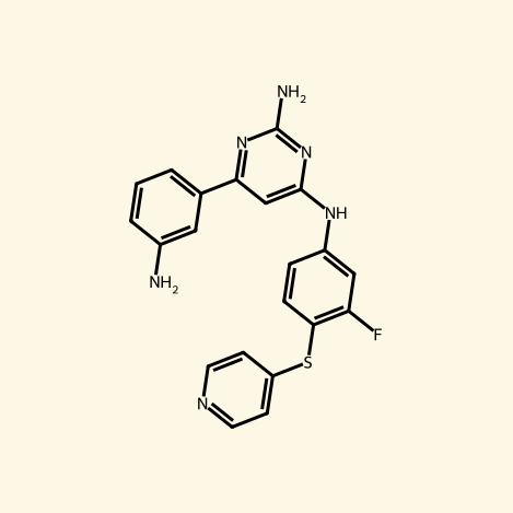 Nc1cccc(-c2cc(Nc3ccc(Sc4ccncc4)c(F)c3)nc(N)n2)c1